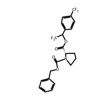 O=C(OC(c1ccc(C(F)(F)F)cc1)C(F)(F)F)[C@@H]1CCCN1C(=O)OCc1ccccc1